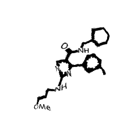 COCCCNc1ncc(C(=O)NCC2CCCCC2)c(-c2cccc(C)c2)n1